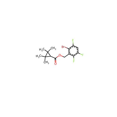 CC1(C)C(C(=O)OCc2c(F)c(F)cc(F)c2Br)C1(C)C